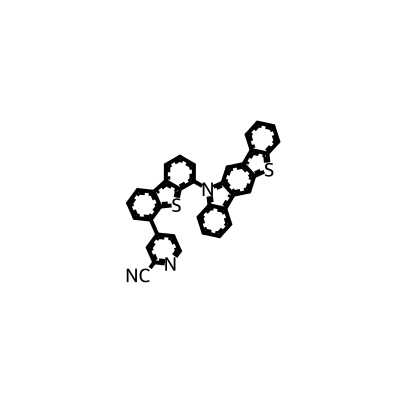 N#Cc1cc(-c2cccc3c2sc2c(-n4c5ccccc5c5cc6sc7ccccc7c6cc54)cccc23)ccn1